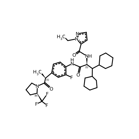 CCn1nccc1C(=O)N[C@H](C(=O)Nc1ccc([C@H](C)C(=O)N2CCC[C@@H]2C(F)(F)F)cc1F)C(C1CCCCC1)C1CCCCC1